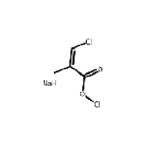 CC(=CCl)C(=O)OCl.[NaH]